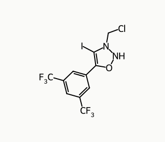 FC(F)(F)c1cc(C2=C(I)N(CCl)NO2)cc(C(F)(F)F)c1